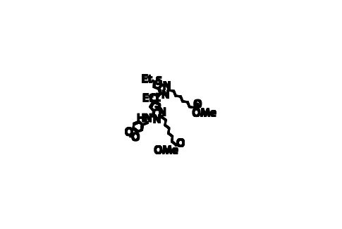 CCc1cc2c(Cl)nc(CCCCCCC(=O)OC)nc2s1.CCc1cc2c(NCc3ccc4c(c3)OCO4)nc(CCCCCCC(=O)OC)nc2s1